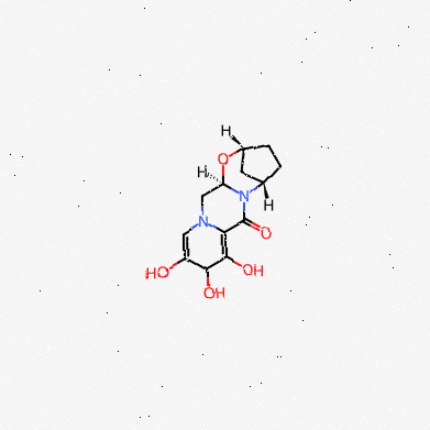 O=C1C2=C(O)C(O)C(O)=CN2C[C@H]2O[C@@H]3CC[C@@H](C3)N12